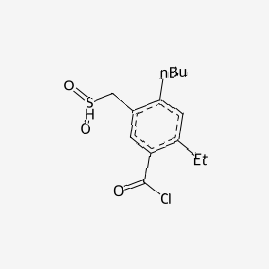 CCCCc1cc(CC)c(C(=O)Cl)cc1C[SH](=O)=O